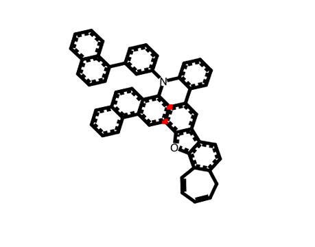 C1=CCc2ccc3c(oc4ccc(-c5ccccc5N(c5cccc(-c6cccc7ccccc67)c5)c5cccc6c5ccc5ccccc56)cc43)c2C=C1